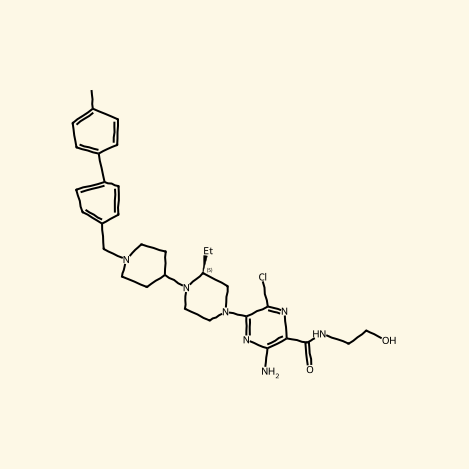 CC[C@H]1CN(c2nc(N)c(C(=O)NCCO)nc2Cl)CCN1C1CCN(Cc2ccc(-c3ccc(C)cc3)cc2)CC1